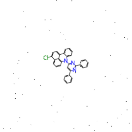 Clc1ccc2c3c(cccc13)N(c1cc(-c3ccccc3)nc(-c3ccccc3)n1)c1ccccc1-2